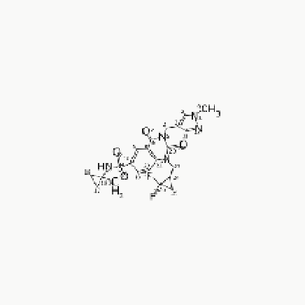 Cn1cc(Cn2c(=O)c3cc(S(=O)(=O)NC4(C)CC4)ccc3n(CC3CC3(F)F)c2=O)cn1